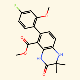 COC(=O)c1c(-c2ccc(F)cc2OC)ccc2c1NC(=O)C(C)(C)N2